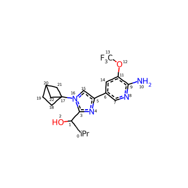 CC(C)C(O)c1nc(-c2cnc(N)c(OC(F)(F)F)c2)cn1C12CCC(C1)C2